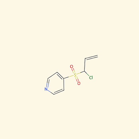 C=CC(Cl)S(=O)(=O)c1ccncc1